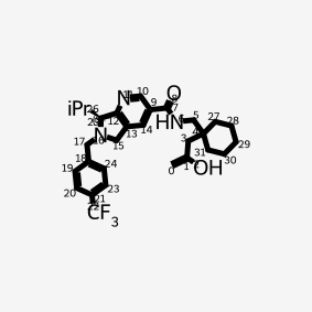 C=C(O)CC1(CNC(=O)c2cnc3c(c2)CN(Cc2ccc(C(F)(F)F)cc2)[C@H]3C(C)C)CCCCC1